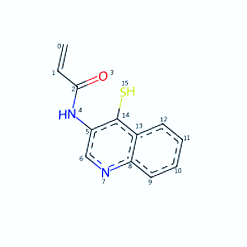 C=CC(=O)Nc1cnc2ccccc2c1S